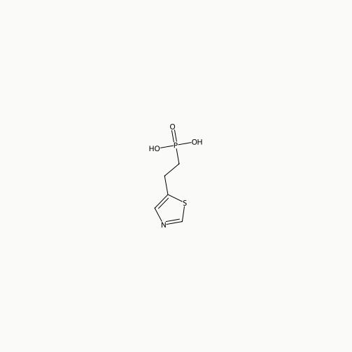 O=P(O)(O)CCc1cncs1